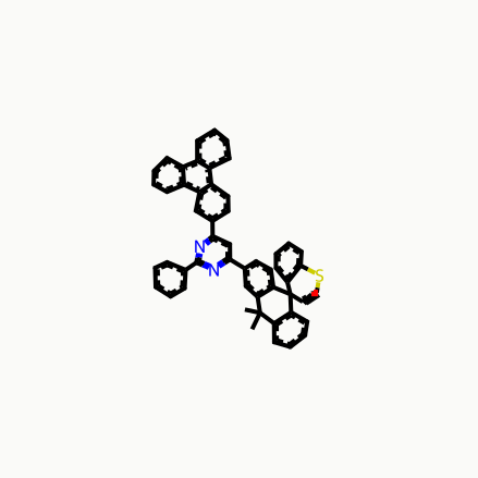 CC1(C)c2ccccc2C2(c3ccccc3Sc3ccccc32)c2ccc(-c3cc(-c4ccc5c6ccccc6c6ccccc6c5c4)nc(-c4ccccc4)n3)cc21